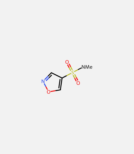 CNS(=O)(=O)c1cnoc1